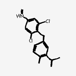 CNc1cc(Cl)c(Cc2ccc(C)c(C(C)C)c2)c(Cl)c1